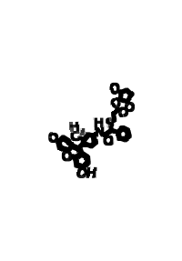 Cc1cc(NC(=O)C(SCCC(=O)OC2C(=O)CCC2=O)c2ccccc2)ccc1-c1c2ccc(=O)cc-2oc2cc(O)ccc12